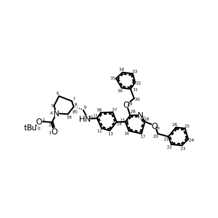 CC(C)(C)OC(=O)N1CCC[C@H](CNc2ccc(-c3ccc(OCc4ccccc4)nc3OCc3ccccc3)cc2)C1